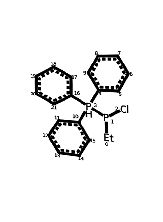 CCP(Cl)[PH](c1ccccc1)(c1ccccc1)c1ccccc1